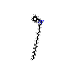 CCCCCCCCCCCCCCCCCCCC[N+](C)(C)Cc1ccccc1